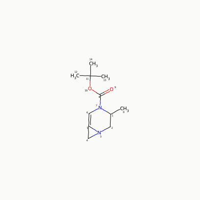 CC1CN2CC2=CN1C(=O)OC(C)(C)C